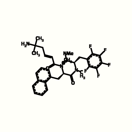 CNC(=O)[C@@H](Cc1c(F)c(F)c(F)c(F)c1F)N(C)C(=O)[C@@H](Cc1cccc2ccccc12)N(C)C(=O)C=CCC(C)(C)N